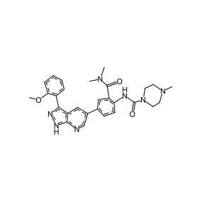 COc1ccccc1-c1n[nH]c2ncc(-c3ccc(NC(=O)N4CCN(C)CC4)c(C(=O)N(C)C)c3)cc12